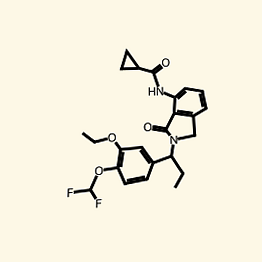 CCOc1cc(C(CC)N2Cc3cccc(NC(=O)C4CC4)c3C2=O)ccc1OC(F)F